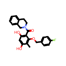 Cc1c(O)cc(O)c(C(=O)N2CCc3ccccc3C2)c1OCc1ccc(F)cc1